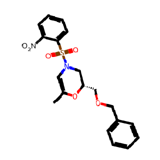 CC1=CN(S(=O)(=O)c2ccccc2[N+](=O)[O-])C[C@H](COCc2ccccc2)O1